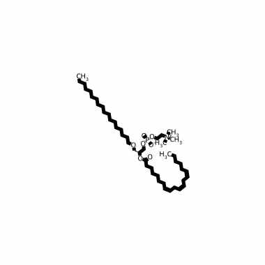 CCCCC/C=C\C/C=C\C/C=C\CCCCCCC(=O)O[C@H](COCCCCCCCCCCCCCCCCCC)COP(=O)([O-])OCC[N+](C)(C)C